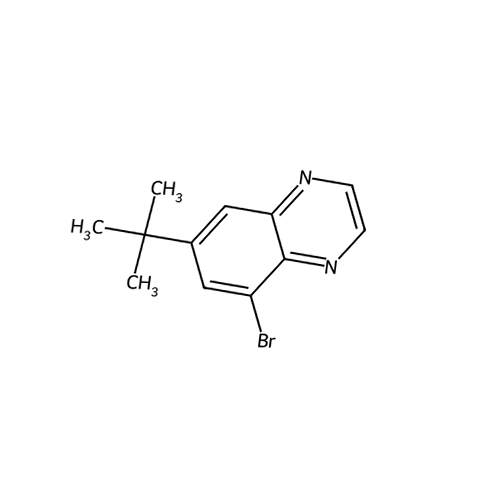 CC(C)(C)c1cc(Br)c2nccnc2c1